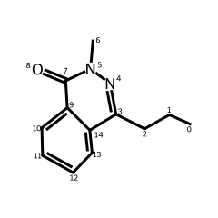 CCCc1nn(C)c(=O)c2ccccc12